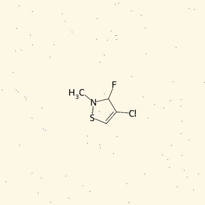 CN1SC=C(Cl)C1F